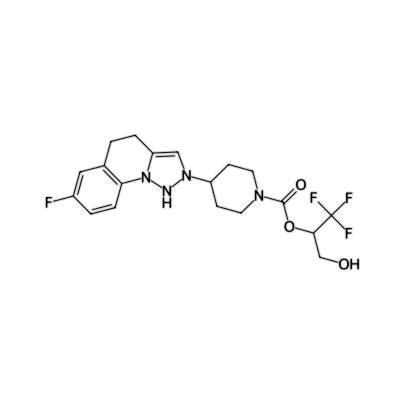 O=C(OC(CO)C(F)(F)F)N1CCC(N2C=C3CCc4cc(F)ccc4N3N2)CC1